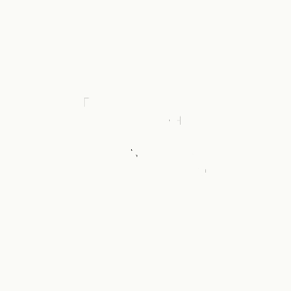 CC(=O)c1c(O)c(-c2cccc(F)c2)nc2ccccc12